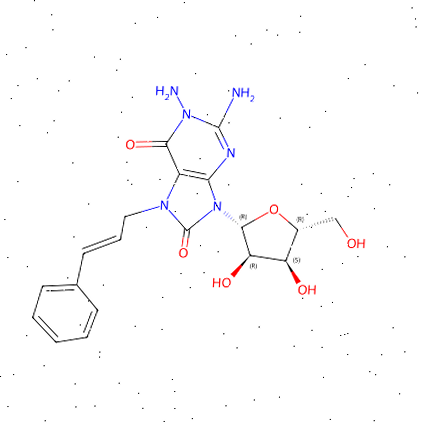 Nc1nc2c(c(=O)n1N)n(CC=Cc1ccccc1)c(=O)n2[C@@H]1O[C@H](CO)[C@@H](O)[C@H]1O